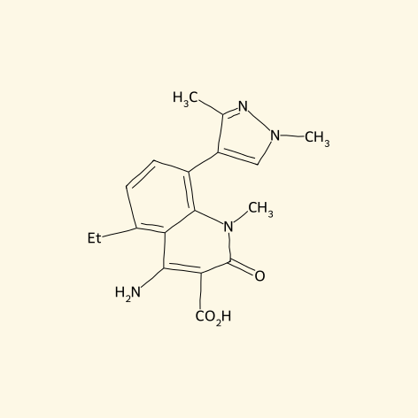 CCc1ccc(-c2cn(C)nc2C)c2c1c(N)c(C(=O)O)c(=O)n2C